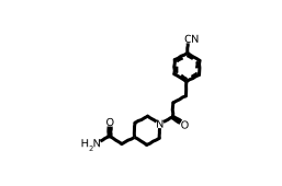 N#Cc1ccc(CCC(=O)N2CCC(CC(N)=O)CC2)cc1